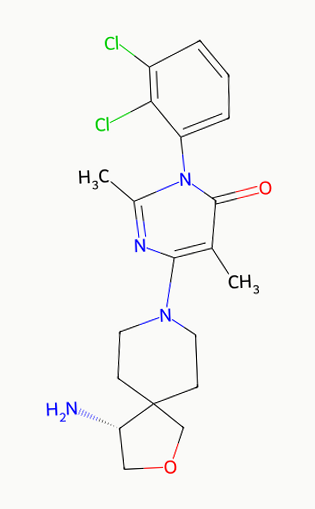 Cc1c(N2CCC3(CC2)COC[C@@H]3N)nc(C)n(-c2cccc(Cl)c2Cl)c1=O